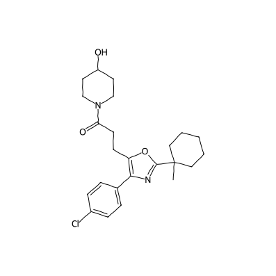 CC1(c2nc(-c3ccc(Cl)cc3)c(CCC(=O)N3CCC(O)CC3)o2)CCCCC1